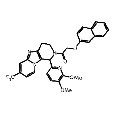 COc1ccc(C2c3c(nc4cc(C(F)(F)F)ccn34)CCN2C(=O)COc2ccc3ccccc3c2)nc1OC